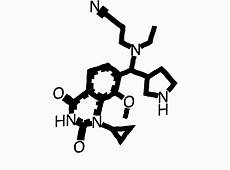 CCN(CCC#N)C(c1ccc2c(=O)[nH]c(=O)n(C3CC3)c2c1OC)C1CCNC1